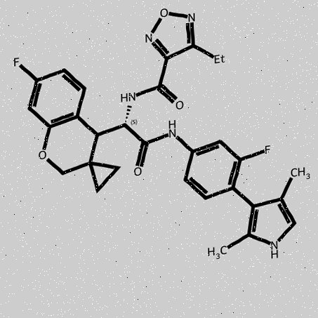 CCc1nonc1C(=O)N[C@H](C(=O)Nc1ccc(-c2c(C)c[nH]c2C)c(F)c1)C1c2ccc(F)cc2OCC12CC2